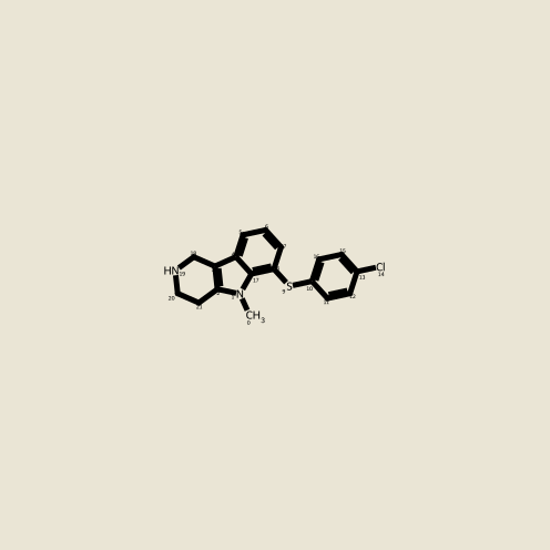 Cn1c2c(c3cccc(Sc4ccc(Cl)cc4)c31)CNCC2